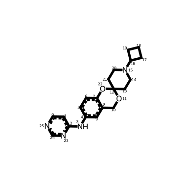 c1cc(Nc2ccc3c(c2)COC2(CCN(C4CCC4)CC2)O3)ncn1